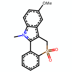 COc1ccc2c(c1)c1c(n2C)-c2ccccc2S(=O)(=O)C1